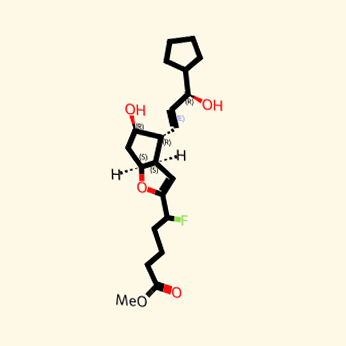 COC(=O)CCCC(F)C1=C[C@@H]2[C@@H](/C=C/[C@H](O)C3CCCC3)[C@H](O)C[C@@H]2O1